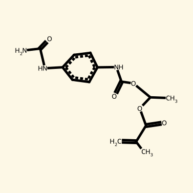 C=C(C)C(=O)OC(C)OC(=O)Nc1ccc(NC(N)=O)cc1